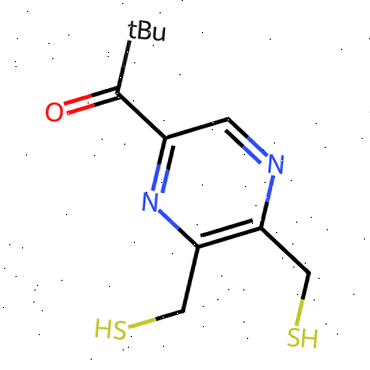 CC(C)(C)C(=O)c1cnc(CS)c(CS)n1